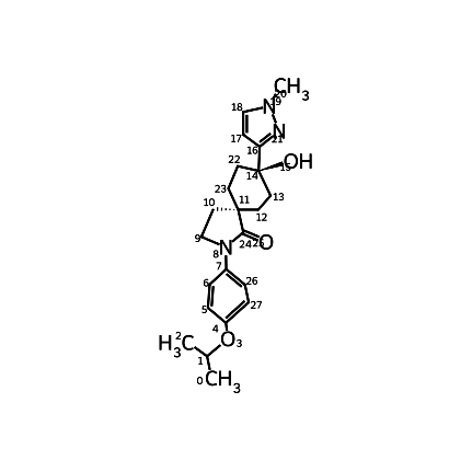 CC(C)Oc1ccc(N2CC[C@]3(CC[C@@](O)(c4ccn(C)n4)CC3)C2=O)cc1